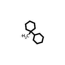 [CH2]C1(C2CCCCC2)CCCCC1